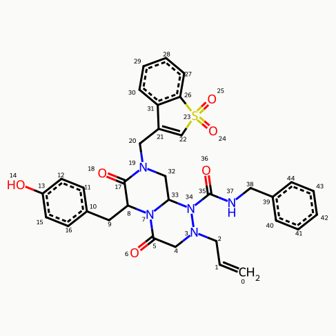 C=CCN1CC(=O)N2C(Cc3ccc(O)cc3)C(=O)N(CC3=CS(=O)(=O)c4ccccc43)CC2N1C(=O)NCc1ccccc1